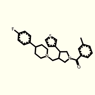 Cc1cccc(C(=O)N2CC(CN3CCC(c4ccc(F)cc4)CC3)C(c3ccsc3)C2)c1